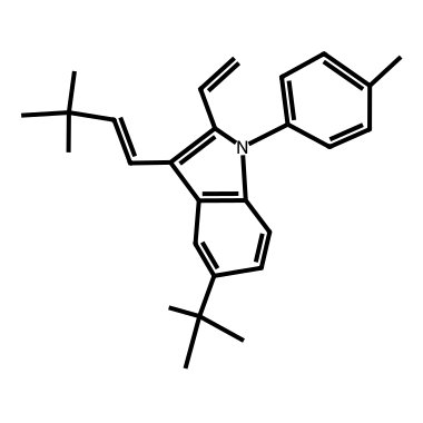 C=Cc1c(/C=C/C(C)(C)C)c2cc(C(C)(C)C)ccc2n1-c1ccc(C)cc1